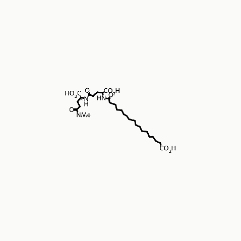 CNC(=O)CC[C@H](NC(=O)CCC(NC(=O)CCCCCCCCCCCCCCCCC(=O)O)C(=O)O)C(=O)O